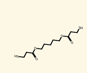 O=C(CCS)OCCCCCOC(=O)CCS